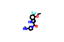 CCOC1c2cc(C(=O)N3CCC(NC)C3)[nH]c2CCC1(F)F